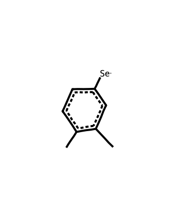 Cc1ccc([Se])cc1C